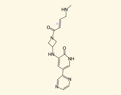 CNC/C=C/C(=O)N1CC(Nc2cc(-c3cnccn3)c[nH]c2=O)C1